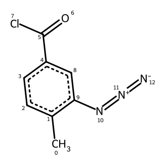 Cc1ccc(C(=O)Cl)cc1N=[N+]=[N-]